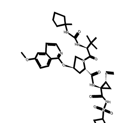 C=C[C@@H]1C[C@]1(NC(=O)[C@@H]1C[C@@H](Oc2nccc3cc(OC)ccc23)CN1C(=O)[C@@H](NC(=O)NC1(C)CCCC1)C(C)(C)C)C(=O)NS(=O)(=O)C1CCC1